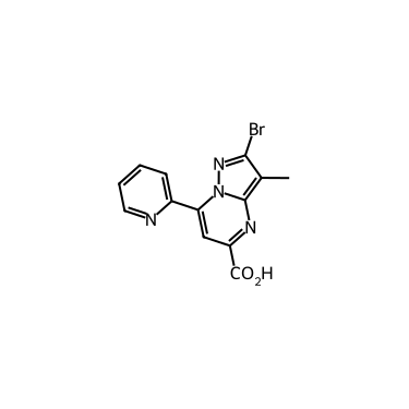 Cc1c(Br)nn2c(-c3ccccn3)cc(C(=O)O)nc12